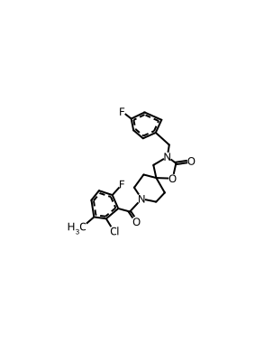 Cc1ccc(F)c(C(=O)N2CCC3(CC2)CN(Cc2ccc(F)cc2)C(=O)O3)c1Cl